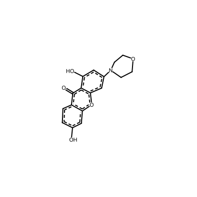 O=c1c2ccc(O)cc2oc2cc(N3CCOCC3)cc(O)c12